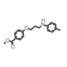 COC(=O)c1ccc(OCCCNc2ccc(C)cc2)cc1